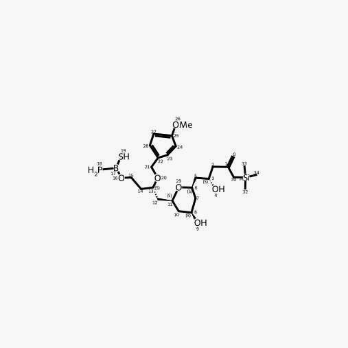 C=C(C[C@H](O)C[C@H]1C[C@@H](O)C[C@@H](C[C@H](CCOB(P)S)OCc2ccc(OC)cc2)O1)C[Si](C)(C)C